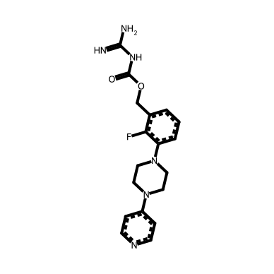 N=C(N)NC(=O)OCc1cccc(N2CCN(c3ccncc3)CC2)c1F